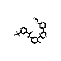 Cc1ccc(NC(=O)c2ccnc(C(F)(F)F)c2)cc1-c1cncc(-c2ccnc(NC=O)c2)n1